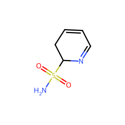 NS(=O)(=O)C1CC=CC=N1